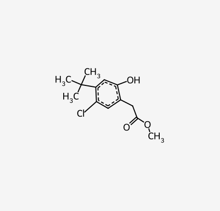 COC(=O)Cc1cc(Cl)c(C(C)(C)C)cc1O